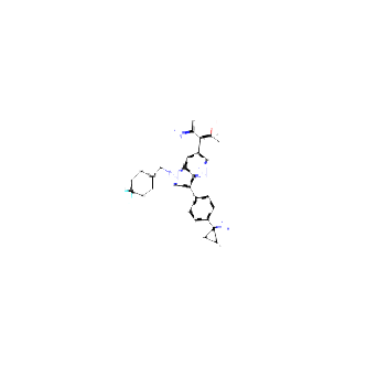 CC(=N)/C(=C(/C)O)c1cnc2c(-c3ccc(C4(N)CC4)cc3)cn(CC3CCC(F)(F)CC3)c2c1